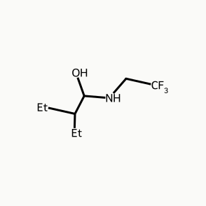 CCC(CC)C(O)NCC(F)(F)F